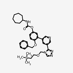 C[Si](C)(C)CCOCn1cnnc1-c1cncc(-c2cc(OC(=O)NC3CCCCCC3)ccc2OCc2ccccc2)c1